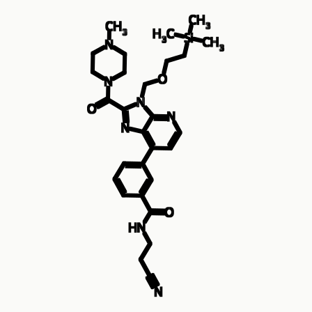 CN1CCN(C(=O)c2nc3c(-c4cccc(C(=O)NCCC#N)c4)ccnc3n2COCC[Si](C)(C)C)CC1